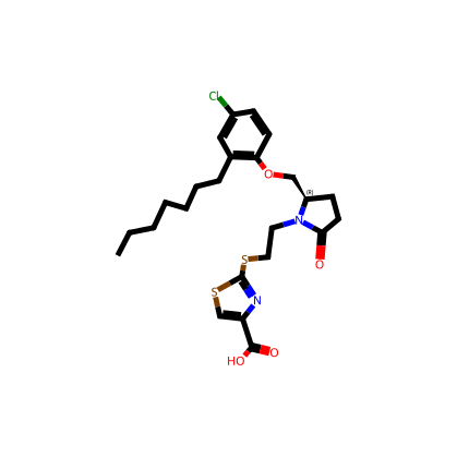 CCCCCCCc1cc(Cl)ccc1OC[C@H]1CCC(=O)N1CCSc1nc(C(=O)O)cs1